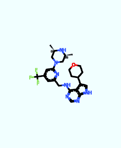 C[C@@H]1CN(c2cc(C(F)(F)F)cc(CNc3ncnc4[nH]cc(C5CCOCC5)c34)n2)C[C@H](C)N1